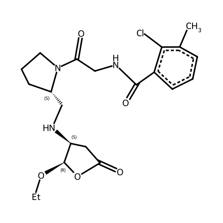 CCO[C@@H]1OC(=O)C[C@@H]1NC[C@@H]1CCCN1C(=O)CNC(=O)c1cccc(C)c1Cl